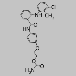 Cc1c(Cl)cccc1Nc1ccccc1C(=O)Nc1ccc(OCCOC(N)=O)cc1